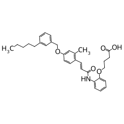 CCCCCc1cccc(COc2ccc(/C=C/C(=O)Nc3ccccc3OCCCC(=O)O)c(C)c2)c1